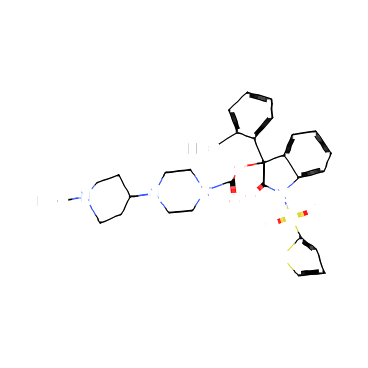 Cc1ccccc1C1(OC(=O)N2CCN(C3CCN(C)CC3)CC2)C(=O)N(S(=O)(=O)c2cccs2)c2ccccc21